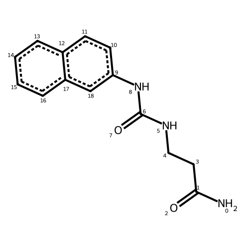 NC(=O)CCNC(=O)Nc1ccc2ccccc2c1